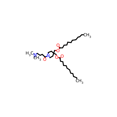 CCCCCCCCCCCC(=O)OCC1(COC(=O)CCCCCCCCCCC)CCN(C(=O)CCCN(C)C)CC1